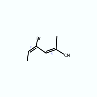 C/C=C(Br)\C=C(/C)C#N